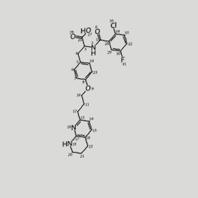 O=C(NC(Cc1ccc(OCCCc2ccc3c(n2)NCCC3)cc1)C(=O)O)c1cc(F)ccc1Cl